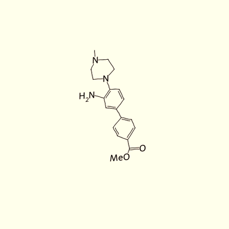 COC(=O)c1ccc(-c2ccc(N3CCN(C)CC3)c(N)c2)cc1